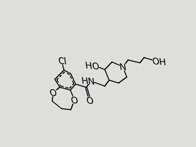 O=C(NCC1CCN(CCCO)CC1O)c1cc(Cl)cc2c1OCCCO2